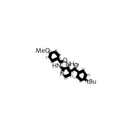 COc1ccc(C(=O)Nc2nccc(C(=O)c3ccc(C(C)(C)C)cc3)c2N)cc1